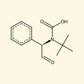 CC(C)(C)N(C(=O)O)[C@@H](C=O)c1ccccc1